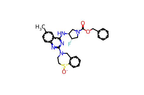 Cc1ccc2nc(N3CC[S+]([O-])c4ccccc4C3)nc(N[C@H]3CN(C(=O)OCc4ccccc4)C[C@@H]3F)c2c1